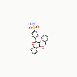 Cc1ccccc1-c1c(-c2ccc(S(N)(=O)=O)cc2)oc2ccccc2c1=O